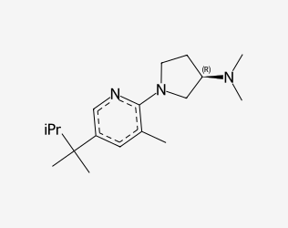 Cc1cc(C(C)(C)C(C)C)cnc1N1CC[C@@H](N(C)C)C1